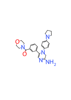 NC1=NC=C(c2cccc(C(=O)N3CCOCC3)c2)N(c2ccc(N3CCCC3)cc2)C1